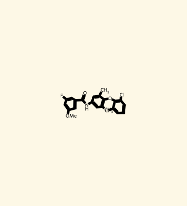 COc1cc(F)cc(C(=O)Nc2cc(C)c(Oc3c(Cl)[c]ccc3Cl)c(C)c2)c1